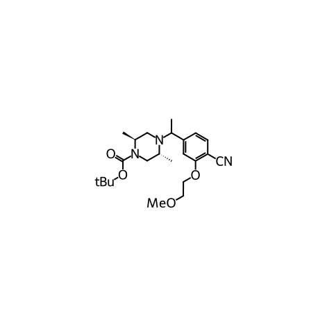 COCCOc1cc(C(C)N2C[C@H](C)N(C(=O)OC(C)(C)C)C[C@H]2C)ccc1C#N